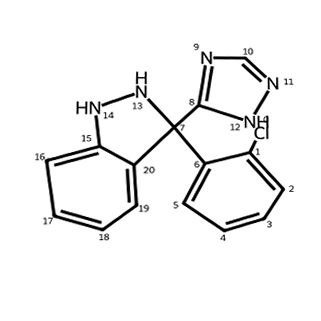 Clc1ccccc1C1(c2ncn[nH]2)NNc2ccccc21